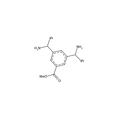 COC(=O)c1cc(C(N)C(C)C)cc(C(N)C(C)C)c1